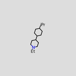 CCN1CCC(C2CCC(C(C)C)CC2)CC1